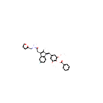 COc1cc(/C=C2/C(C)=C(CC(=O)N(C)Cc3ccco3)c3cc(F)ccc32)cc(OC)c1OC(=O)c1ccccc1